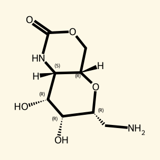 NC[C@H]1O[C@H]2COC(=O)N[C@H]2[C@@H](O)[C@H]1O